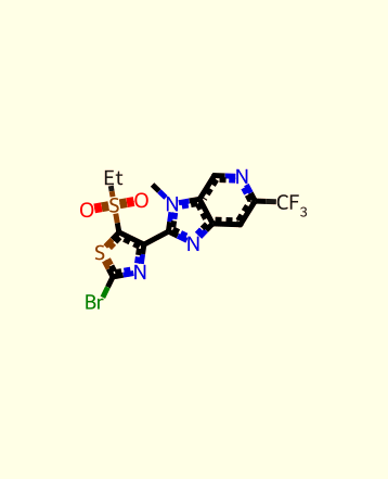 CCS(=O)(=O)c1sc(Br)nc1-c1nc2cc(C(F)(F)F)ncc2n1C